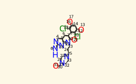 CNc1ncc2cc(-c3c(Cl)c(OC)cc(OC)c3Cl)c(=O)n(CCCN3CCN(C=O)CC3)c2n1